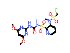 COc1cc(OC)nc(NC(=O)NS(=O)(=O)c2ncccc2N(C)S(=O)(=O)CF)n1